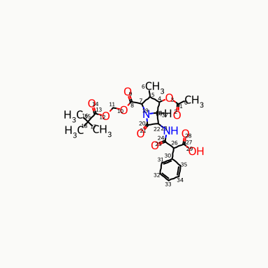 CC(=O)OC1C(C)C(C(=O)OCOC(=O)C(C)(C)C)N2C(=O)C(NC(=O)C(C(=O)O)c3ccccc3)[C@@H]12